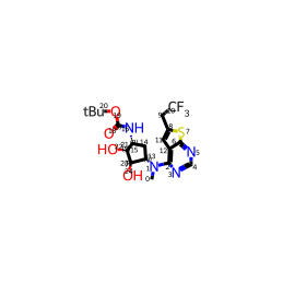 CN(c1ncnc2sc(CC(F)(F)F)cc12)[C@H]1C[C@@H](NC(=O)OC(C)(C)C)[C@H](O)[C@@H]1O